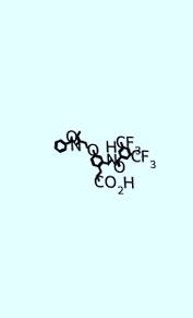 Cc1oc(-c2ccccc2)nc1CCOc1ccc(CCC(=O)O)c(CNC(=O)c2cc(C(F)(F)F)cc(C(F)(F)F)c2)c1